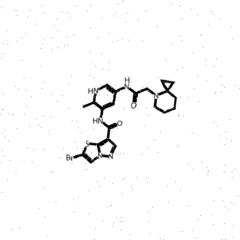 CC1NC=C(NC(=O)CN2CCCCC23CC3)C=C1NC(=O)c1cnn2cc(Br)sc12